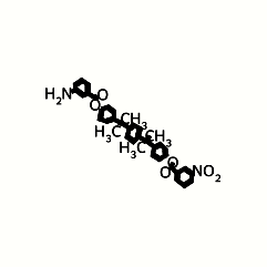 CC(C)(c1ccc(OC(=O)c2cccc(N)c2)cc1)c1ccc(C(C)(C)c2ccc(OC(=O)c3cccc([N+](=O)[O-])c3)cc2)cc1